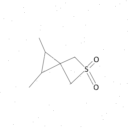 CC1C(C)C12CS(=O)(=O)C2